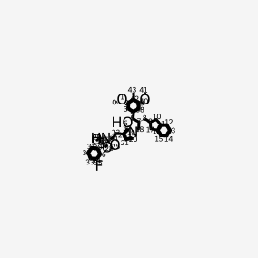 COc1cc([C@@H](O)[C@H](CC2Cc3ccccc3C2)Cn2ccc(CC(=O)NS(=O)(=O)c3cccc(F)c3)c2)cc(OC)c1C